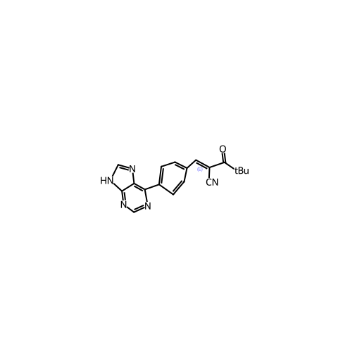 CC(C)(C)C(=O)/C(C#N)=C/c1ccc(-c2ncnc3[nH]cnc23)cc1